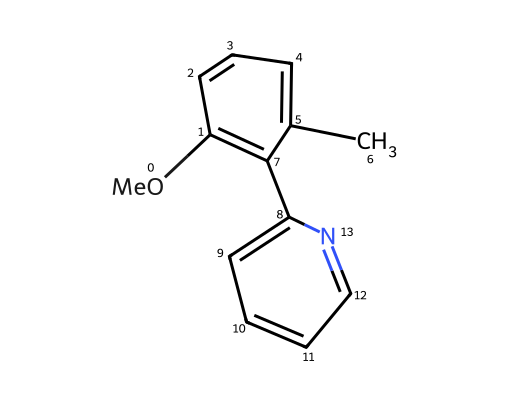 COc1cccc(C)c1-c1ccccn1